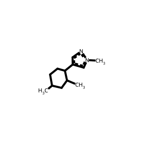 CC1CCC(c2cnn(C)c2)C(C)C1